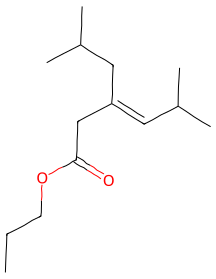 CCCOC(=O)CC(=CC(C)C)CC(C)C